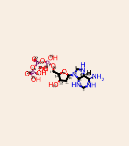 N[C@H]1NCNC2[C@H]1NCN2C1CC(O)C(COP(=O)(O)OP(=O)(O)OP(=O)(O)O)O1